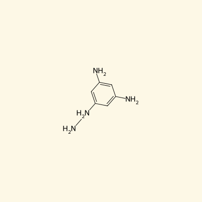 CN.Nc1cc(N)cc(N)c1